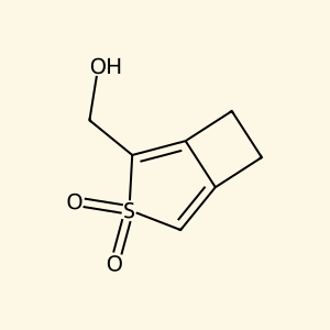 O=S1(=O)C=C2CCC2=C1CO